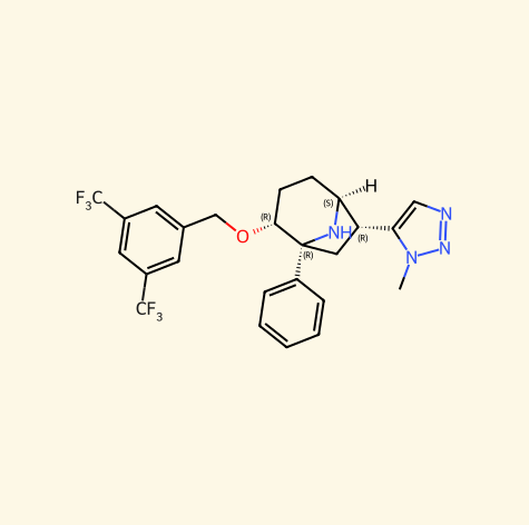 Cn1nncc1[C@@H]1C[C@]2(c3ccccc3)N[C@H]1CC[C@H]2OCc1cc(C(F)(F)F)cc(C(F)(F)F)c1